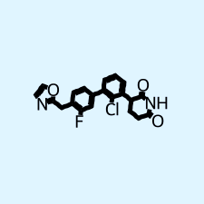 O=C1CCC(c2cccc(-c3ccc(Cc4ncco4)c(F)c3)c2Cl)C(=O)N1